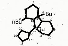 CCCCC1CCCC(C(C)CC)(C2CCCCC2)[C]1C(C(C)CC)C1CCCC1